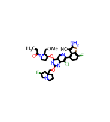 C=CC(=O)N1CCC(Oc2nc(OCC34CCCN3CC(F)C4)nc3c(Cl)c(-c4ccc(F)c5sc(N)c(C#N)c45)ncc23)C1COC